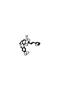 O=C(/C=C/c1ccco1)O[C@@H]1C(O)C=C2CCN3Cc4cc5c(cc4C1C23)OCO5